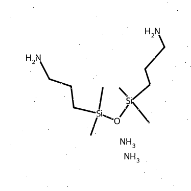 C[Si](C)(CCCN)O[Si](C)(C)CCCN.N.N